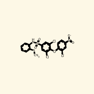 CSc1ccccc1NS(=O)(=O)c1cc(Cl)c(Oc2ccc([N+](=O)[O-])cc2Cl)c(Cl)c1